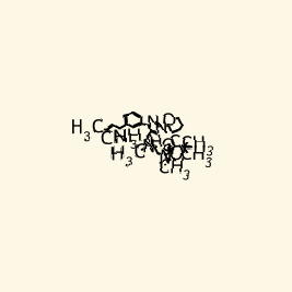 CC(C)=CC(N)c1cccc(-c2nn(C3CCCCO3)cc2CN(C)CCN(C)C(=O)OC(C)(C)C)c1